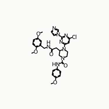 COc1ccc(NC(=O)N2CCN(c3cc(Cl)nc(-n4ccnc4)n3)C(CC(=O)NCc3cc(OC)ccc3OC)C2)cc1